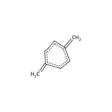 C=c1ccc(=C)cc1